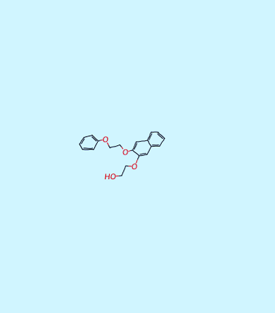 OCCOc1cc2ccccc2cc1OCCOc1ccccc1